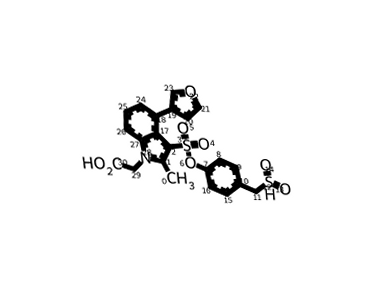 Cc1c(S(=O)(=O)Oc2ccc(C[SH](=O)=O)cc2)c2c(-c3ccoc3)cccc2n1CC(=O)O